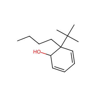 CCCCC1(C(C)(C)C)C=CC=CC1O